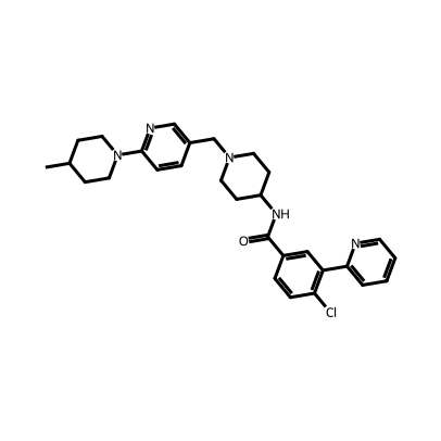 CC1CCN(c2ccc(CN3CCC(NC(=O)c4ccc(Cl)c(-c5ccccn5)c4)CC3)cn2)CC1